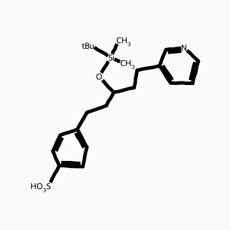 CC(C)(C)[Si](C)(C)OC(CCc1ccc(S(=O)(=O)O)cc1)CCc1cccnc1